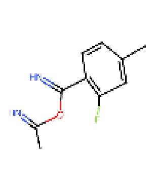 CC(=N)OC(=N)c1ccc(C)cc1F